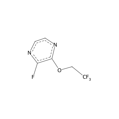 Fc1nccnc1OCC(F)(F)F